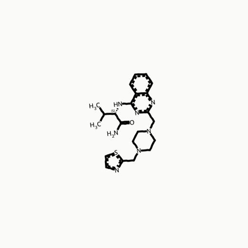 CC(C)[C@H](Nc1nc(CN2CCN(Cc3nccs3)CC2)nc2ccccc12)C(N)=O